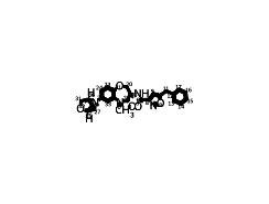 CN1C(=O)[C@@H](NC(=O)c2cc(Cc3ccccc3)on2)COc2ccc(N3C[C@@H]4C[C@H]3CO4)cc21